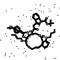 CCCCOc1cccc2c1C(=O)OC[C@H](NC(=O)CC1=CN(C(=O)OC(C)(C)C)C3C=CC=CC13)[C@@H](OC/C=C/CBr)[C@H](OCc1ccc(OC)cc1)[C@H](OCCCC)COC/C=C/2